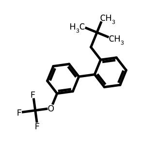 CC(C)(C)Cc1ccccc1-c1cccc(OC(F)(F)F)c1